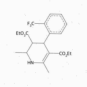 CCOC(=O)C1=C(C)NC(C)C(C(=O)OCC)C1c1ccccc1C(F)(F)F